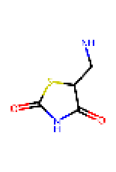 [NH]CC1SC(=O)NC1=O